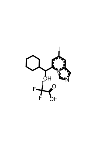 O=C(O)C(F)(F)F.OC(c1cc(I)cc2cncn12)C1CCCCC1